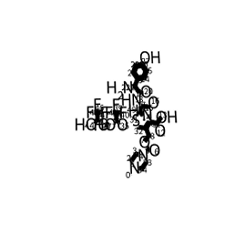 CN1CCN(C(=O)OCC2=C(C(=O)O)N3C(=O)C(NC(=O)C(N)c4ccc(O)cc4)[C@@H]3SC2)CC1.O=C(O)C(F)(F)F.O=C(O)C(F)(F)F